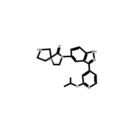 CC(C)Oc1cc(-c2n[nH]c3ccc(N4CC[C@]5(CCNC5)C4=O)cc23)ccn1